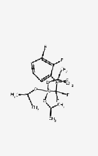 CC(C)O[Si](OC(C)C)(OC(C)C)C(F)(F)N(F)c1cccc(F)c1F